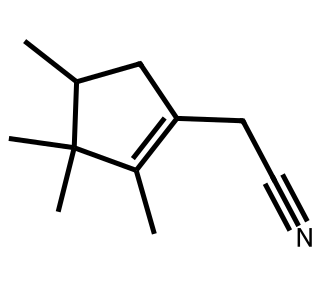 CC1=C(CC#N)CC(C)C1(C)C